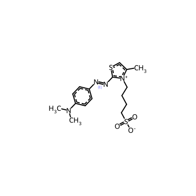 Cc1csc(/N=N/c2ccc(N(C)C)cc2)[n+]1CCCCS(=O)(=O)[O-]